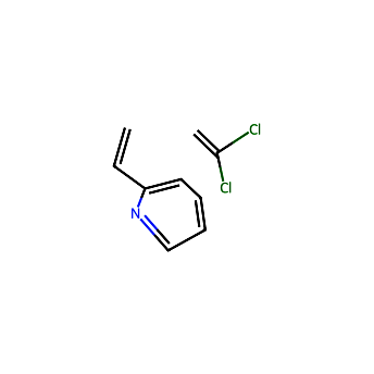 C=C(Cl)Cl.C=Cc1ccccn1